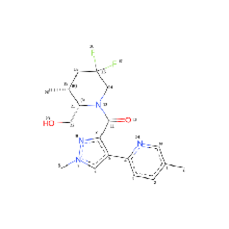 Cc1ccc(-c2cn(C)nc2C(=O)N2CC(F)(F)C[C@@H](C)[C@H]2CO)nc1